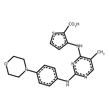 Cc1cnc(Nc2ccc(N3CCOCC3)cc2)nc1Nc1ccsc1C(=O)O